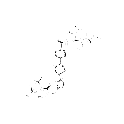 CCCN(Cc1ncc(-c2ccc(-c3ccc(C(=O)NC[C@@H]4CCCN4C(=O)[C@@H](NC(=O)OC)C(C)C)cc3)cc2)[nH]1)C(=O)[C@@H](NC(=O)OC)C(C)C